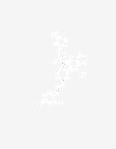 Cl.O=C(NCc1ccnc(Cl)c1)n1c2c(c3cc4c(cc31)COC4)CN(C/C=C/c1ccc(F)cc1F)CC2